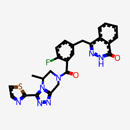 CC1CN(C(=O)c2cc(Cc3n[nH]c(=O)c4ccccc34)ccc2F)Cc2nnc(-c3nccs3)n21